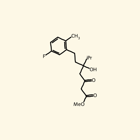 COC(=O)CC(=O)CC(O)(CCc1cc(F)ccc1C)C(C)C